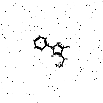 Cc1nn(-c2ccccc2)nc1CN